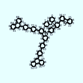 c1ccc([Si]2(c3ccccc3)c3cc(-c4cccc5c4sc4ccccc45)ccc3-c3ccc(-n4c5ccc(-c6ccc(-c7ccc(-c8cc9ccccc9c9ccccc89)cc7)cc6)cc5c5cc(-c6ccc(-c7ccc(-c8cc9ccccc9c9ccccc89)cc7)cc6)ccc54)cc32)cc1